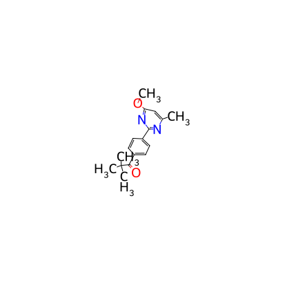 COc1cc(C)nc(-c2ccc(C(=O)C(C)(C)C)cc2)n1